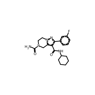 NC(=O)N1CCn2nc(-c3cccc(F)c3)c(C(=O)NC3CCCCC3)c2C1